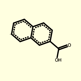 O=C(O)c1ccc2cc[c]cc2c1